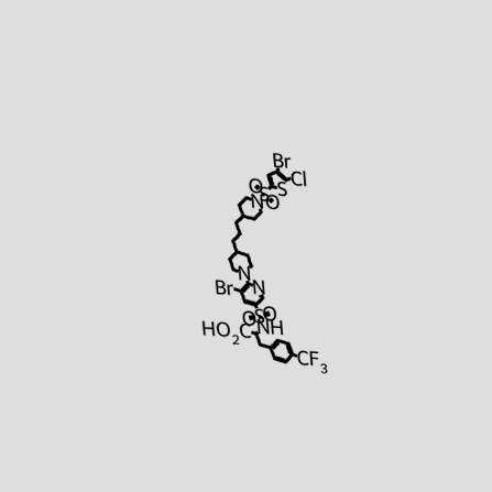 O=C(O)C(Cc1ccc(C(F)(F)F)cc1)NS(=O)(=O)c1cnc(N2CCC(CCCC3CCN(S(=O)(=O)c4cc(Br)c(Cl)s4)CC3)CC2)c(Br)c1